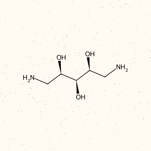 NC[C@@H](O)[C@H](O)[C@@H](O)CN